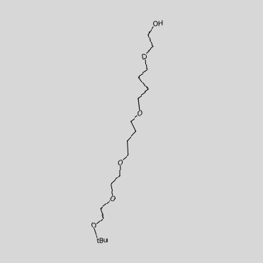 CC(C)(C)OCCOCCOCCCCOCCCCOCCO